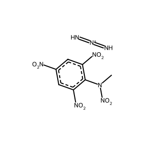 CN(c1c([N+](=O)[O-])cc([N+](=O)[O-])cc1[N+](=O)[O-])[N+](=O)[O-].N=[N+]=N